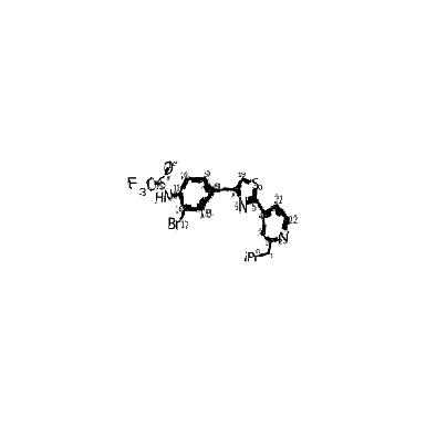 CC(C)Cc1cc(-c2nc(-c3ccc(N[S+]([O-])C(F)(F)F)c(Br)c3)cs2)ccn1